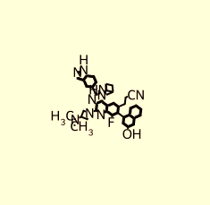 CN(C)C1CN(c2nc3c(F)c(-c4cc(O)cc5ccccc45)c(CCC#N)cc3c3c2nc(-c2ccc4[nH]ncc4c2)n3C2C3CNC2C3)C1